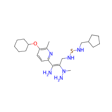 Cc1nc(/C(N)=C(\CNSNCC2CCCC2)N(C)N)ccc1OC1CCCCC1